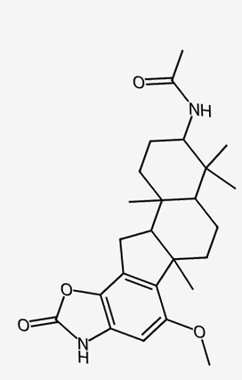 COc1cc2[nH]c(=O)oc2c2c1C1(C)CCC3C(C)(C)C(NC(C)=O)CCC3(C)C1C2